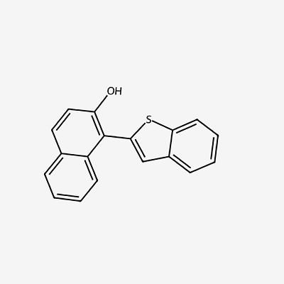 Oc1ccc2ccccc2c1-c1cc2ccccc2s1